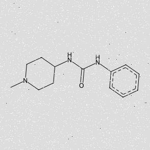 CN1CCC(NC(=O)Nc2ccccc2)CC1